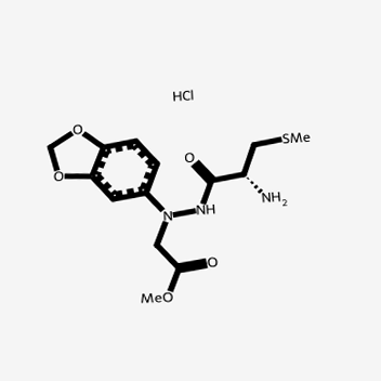 COC(=O)CN(NC(=O)[C@@H](N)CSC)c1ccc2c(c1)OCO2.Cl